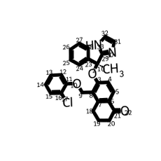 C[C@](Oc1ccc2c(c1COc1ccccc1Cl)CCCC2=O)(c1ccccc1)c1ncc[nH]1